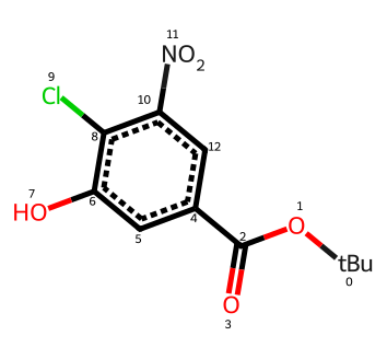 CC(C)(C)OC(=O)c1cc(O)c(Cl)c([N+](=O)[O-])c1